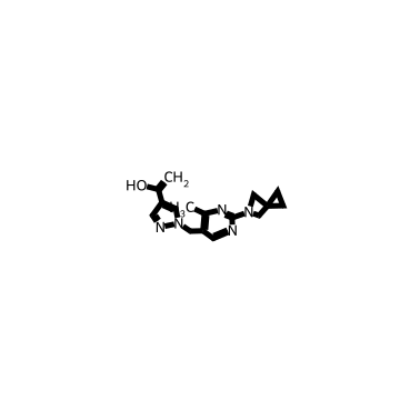 C=C(O)c1cnn(Cc2cnc(N3CC4(CC4)C3)nc2C)c1